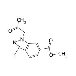 COC(=O)c1ccc2c(I)nn(CC(C)=O)c2c1